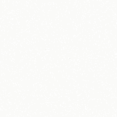 O=C1C=CC(C(=O)c2ccccc2)=CC1